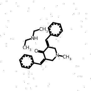 CCNCC.CN1CC(=Cc2ccccc2)C(=O)C(=Cc2ccccc2)C1